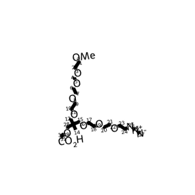 COCCOCOCCOCCOCC(C)(COCCOCCOCCN=[N+]=[N-])COCC(=O)O